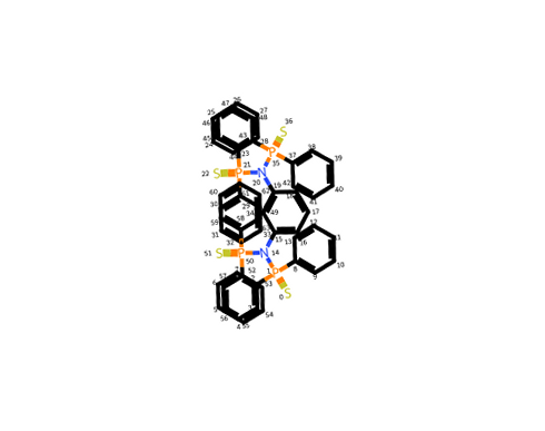 S=P(c1ccccc1)(c1ccccc1)N(c1cccc(N(P(=S)(c2ccccc2)c2ccccc2)P(=S)(c2ccccc2)c2ccccc2)c1)P(=S)(c1ccccc1)c1ccccc1